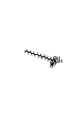 CCCCCCCCCCCCCCCCC(OP(=O)=O)C(O)CO